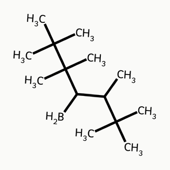 BC(C(C)C(C)(C)C)C(C)(C)C(C)(C)C